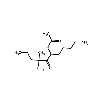 CCCC(C)(C)C(=O)C(CCCCN)NC(C)=O